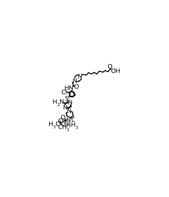 CC1(NC(=O)OC(C)(C)C)CCN(c2cnc(Sc3cccc(NC(=O)CN4CCN(CCCCCCCCCCC(=O)O)CC4)c3Cl)c(N)n2)CC1